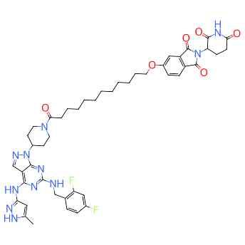 Cc1cc(Nc2nc(NCc3ccc(F)cc3F)nc3c2cnn3C2CCN(C(=O)CCCCCCCCCCCOc3ccc4c(c3)C(=O)N(C3CCC(=O)NC3=O)C4=O)CC2)n[nH]1